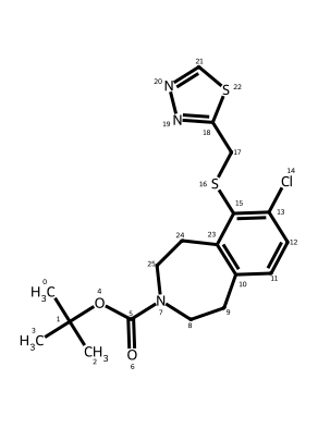 CC(C)(C)OC(=O)N1CCc2ccc(Cl)c(SCc3nncs3)c2CC1